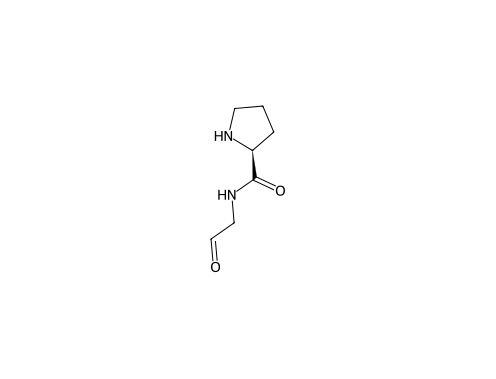 O=CCNC(=O)[C@@H]1CCCN1